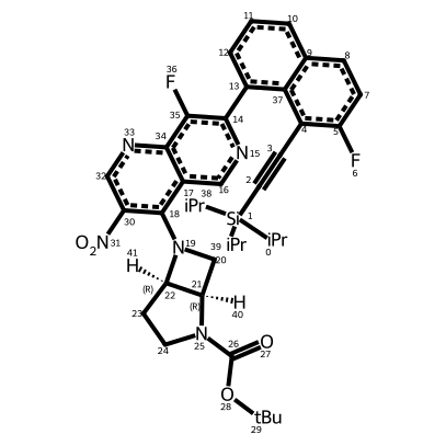 CC(C)[Si](C#Cc1c(F)ccc2cccc(-c3ncc4c(N5C[C@@H]6[C@H]5CCN6C(=O)OC(C)(C)C)c([N+](=O)[O-])cnc4c3F)c12)(C(C)C)C(C)C